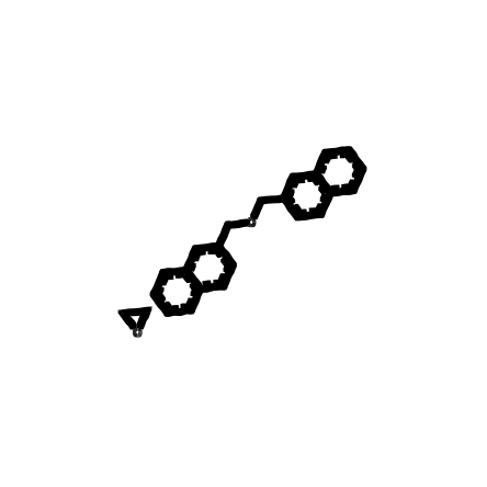 C1CO1.c1ccc2cc(COCc3ccc4ccccc4c3)ccc2c1